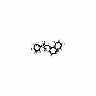 O=S(=O)(Cc1cccc2ccccc12)c1ccccc1